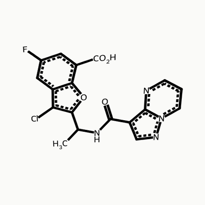 CC(NC(=O)c1cnn2cccnc12)c1oc2c(C(=O)O)cc(F)cc2c1Cl